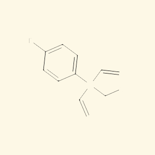 C=C[Si](C=C)(CCl)c1ccc(F)cc1